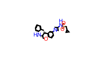 CN[C@H]1COc2ccc(N3CC(NS(=O)(=O)CC4CC4)C3)cc2[C@H]1Cc1ccccc1